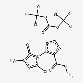 COC(=O)c1sccc1-n1c(Cl)nn(C)c1=O.O=C(OC(Cl)(Cl)Cl)OC(Cl)(Cl)Cl